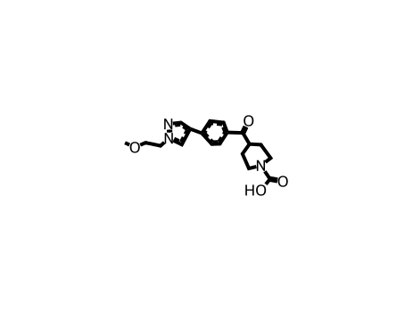 COCCn1cc(-c2ccc(C(=O)C3CCN(C(=O)O)CC3)cc2)cn1